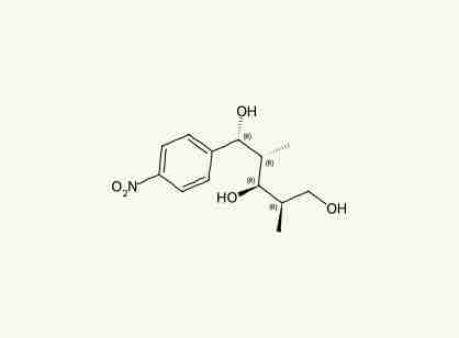 C[C@H]([C@H](O)[C@H](C)CO)[C@@H](O)c1ccc([N+](=O)[O-])cc1